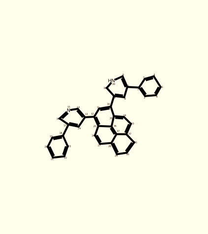 C1=C(c2ccccc2)C=C(c2cc(-c3cncc(-c4ccccc4)c3)c3ccc4cccc5ccc2c3c54)CN1